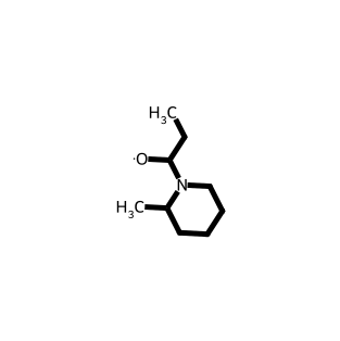 CCC([O])N1CCCCC1C